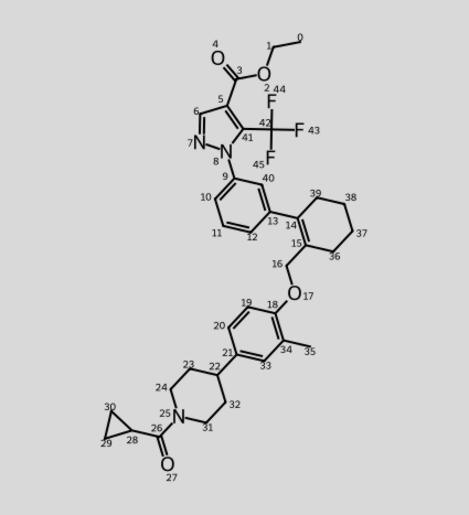 CCOC(=O)c1cnn(-c2cccc(C3=C(COc4ccc(C5CCN(C(=O)C6CC6)CC5)cc4C)CCCC3)c2)c1C(F)(F)F